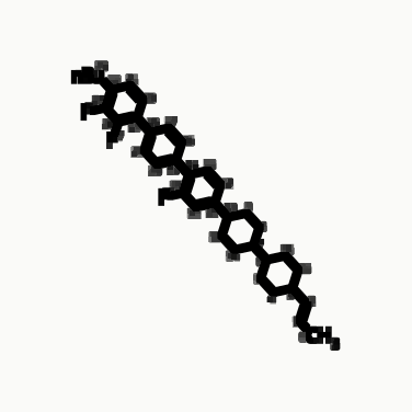 C/C=C/C1CCC(C2CCC(c3ccc(-c4ccc(-c5ccc(CCCC)c(F)c5F)cc4)c(F)c3)CC2)CC1